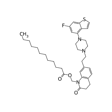 CCCCCCCCCCCC(=O)OCN1C(=O)CCc2ccc(CCN3CCN(c4cc(F)cc5sccc45)CC3)cc21